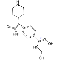 O=c1[nH]c2cc(/C(=N/O)NCO)ccc2n1C1CCNCC1